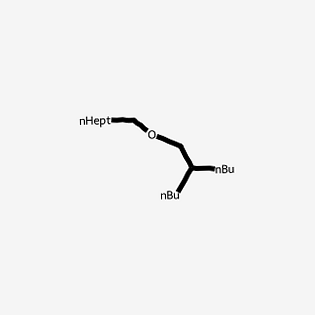 CCCCCCCCOCC(CCCC)CCCC